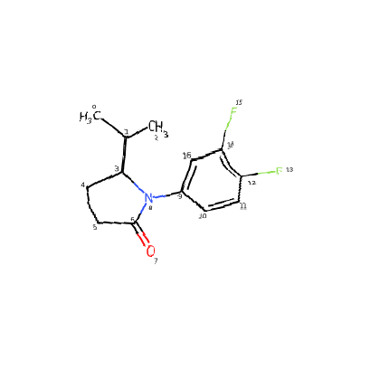 CC(C)C1CCC(=O)N1c1ccc(F)c(F)c1